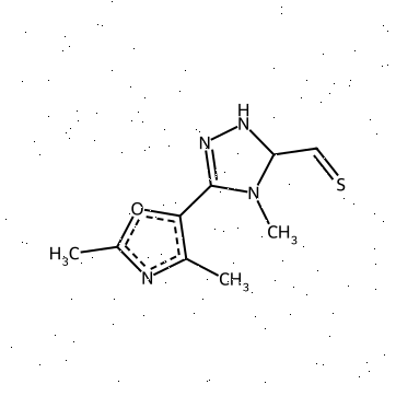 Cc1nc(C)c(C2=NNC(C=S)N2C)o1